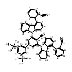 N#Cc1ccccc1-c1cccc2c1c1ccccc1n2-c1cc(-c2cc(C(F)(F)F)cc(C(F)(F)F)c2)cc(-n2c3ccccc3c3c(-c4ccccc4C#N)cccc32)c1C#N